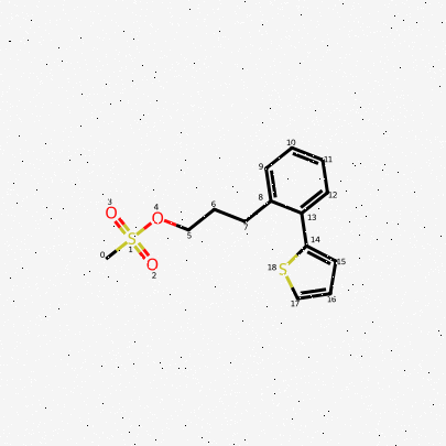 CS(=O)(=O)OCCCc1ccccc1-c1cccs1